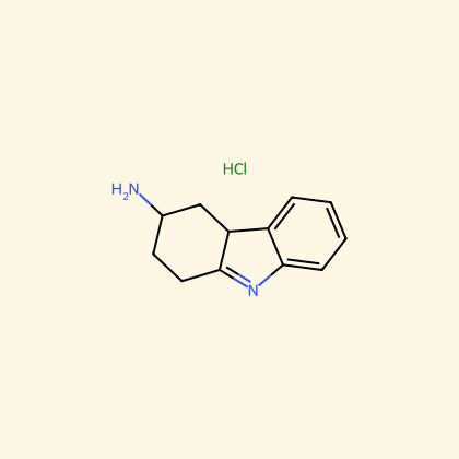 Cl.NC1CCC2=Nc3ccccc3C2C1